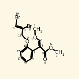 CO/C=C(/C(=O)OC)c1ccccc1OCC(Br)=CBr